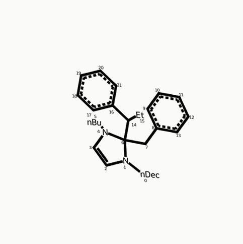 CCCCCCCCCCN1C=CN(CCCC)C1(Cc1ccccc1)C(CC)c1ccccc1